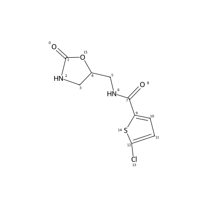 O=C1NCC(CNC(=O)c2ccc(Cl)s2)O1